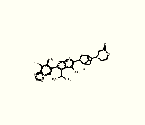 Cc1c(-c2[nH]c3sc(C4CC5C[C@H]4CC5N4CCNC(=O)C4)c(C)c3c2C(C)C)cn2ncnc2c1C